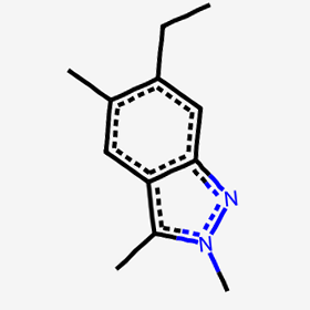 CCc1cc2nn(C)c(C)c2cc1C